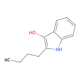 N#CCCCc1[nH]c2ccccc2c1O